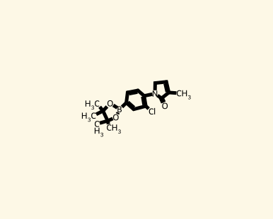 CC1=CCN(c2ccc(B3OC(C)(C)C(C)(C)O3)cc2Cl)C1=O